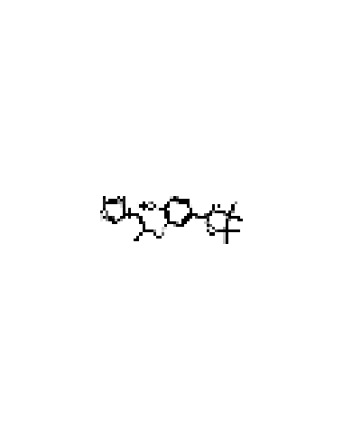 CC(Cn1cnnn1)Oc1cc(B2OC(C)(C)C(C)(C)O2)ccc1C#N